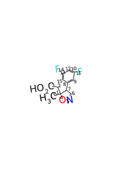 CC1(CC(=O)O)ON=CC1c1cc(F)cc(F)c1